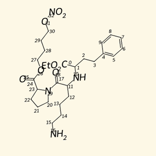 CCOC(=O)C(CCc1ccccc1)NC(CCCCN)C(=O)N1CCCC1C(=O)OCCCCO[N+](=O)[O-]